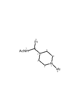 CCCN1CCN(C(CC)NC(C)=O)CC1